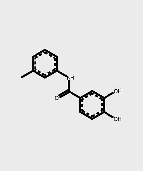 Cc1cccc(NC(=O)c2ccc(O)c(O)c2)c1